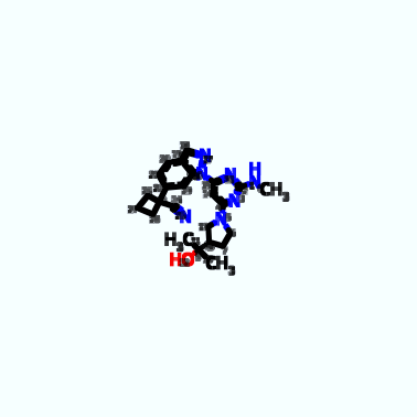 CNc1nc(N2CC[C@@H](C(C)(C)O)C2)cc(-n2ncc3ccc(C4(C#N)CCC4)cc32)n1